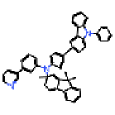 CC1(C)C2=CC(C)(N(c3ccc(-c4ccc5c(c4)c4ccccc4n5-c4ccccc4)cc3)c3cccc(-c4cccnc4)c3)CC=C2c2ccccc21